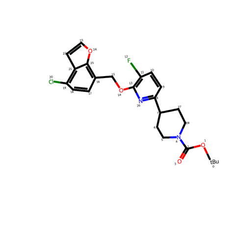 CC(C)(C)OC(=O)N1CCC(c2ccc(F)c(OCc3ccc(Cl)c4ccoc34)n2)CC1